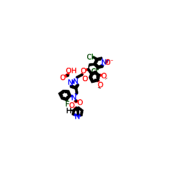 COc1ccc([C@H](Cc2c(Cl)c[n+]([O-])cc2Cl)OC(=O)Cn2cc(CN(C(=O)O[C@H]3CN4CCC3CC4)c3ccccc3F)cn2)cc1OC.O=CO